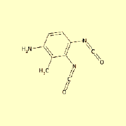 Cc1c(N)ccc(N=C=O)c1N=C=O